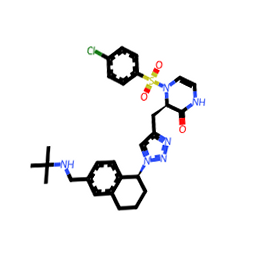 CC(C)(C)NCc1ccc2c(c1)CCC[C@@H]2n1cc(C[C@@H]2C(=O)NC=CN2S(=O)(=O)c2ccc(Cl)cc2)nn1